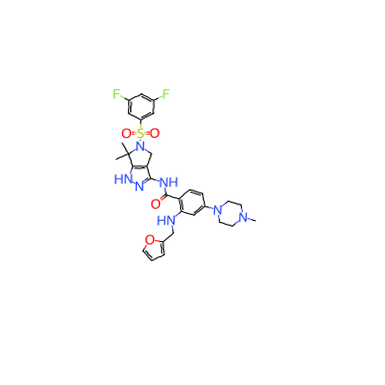 CN1CCN(c2ccc(C(=O)Nc3n[nH]c4c3CN(S(=O)(=O)c3cc(F)cc(F)c3)C4(C)C)c(NCc3ccco3)c2)CC1